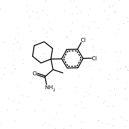 CC(C(N)=O)C1(c2ccc(Cl)c(Cl)c2)CCCCC1